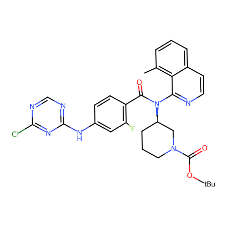 Cc1cccc2ccnc(N(C(=O)c3ccc(Nc4ncnc(Cl)n4)cc3F)[C@@H]3CCCN(C(=O)OC(C)(C)C)C3)c12